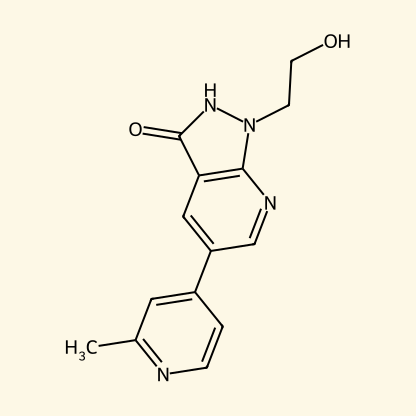 Cc1cc(-c2cnc3c(c2)c(=O)[nH]n3CCO)ccn1